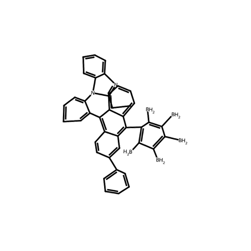 Bc1c(B)c(B)c(-c2c3ccccc3c(-c3ccccc3-n3c(CC)nc4ccccc43)c3ccc(-c4ccccc4)cc23)c(B)c1B